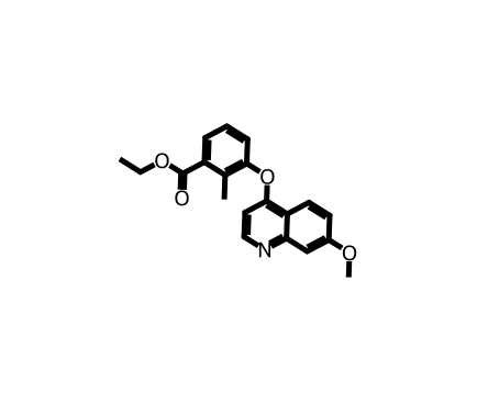 CCOC(=O)c1cccc(Oc2ccnc3cc(OC)ccc23)c1C